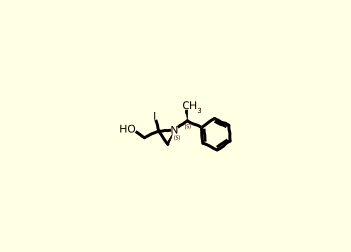 C[C@@H](c1ccccc1)[N@@]1CC1(I)CO